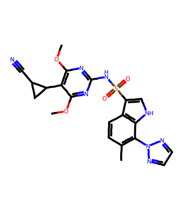 COc1nc(NS(=O)(=O)c2c[nH]c3c(-n4nccn4)c(C)ccc23)nc(OC)c1C1CC1C#N